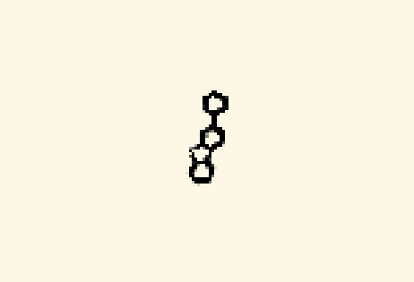 c1ccc(-c2ccc3c(c2)sc2ccccc23)cc1